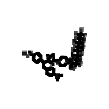 CN(C)c1ccc(CC(c2ccc(N)cc2)c2nsc(N3CCN(S(=O)(=O)C(F)(F)C(F)(F)C(F)(F)C(F)(F)C(F)(F)C(F)(F)C(F)(F)C(F)(F)F)CC3)n2)cc1